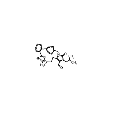 CCCCc1c(C=O)n(CC(C)C)c(=O)n1Cc1ccc(-c2ccccc2-c2nnn[nH]2)cc1